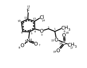 CC(COc1c([N+](=O)[O-])ccc(F)c1Cl)OS(C)(=O)=O